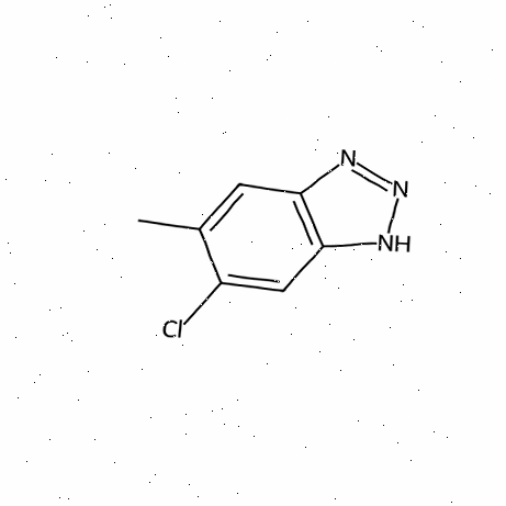 Cc1cc2nn[nH]c2cc1Cl